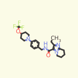 CCc1nc2n(c1C(=O)NCc1ccc(N3CCC(OC(F)(F)F)CC3)cc1)CCCC2